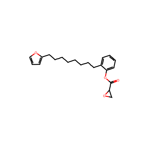 O=C(Oc1ccccc1CCCCCCCCc1ccco1)C1CO1